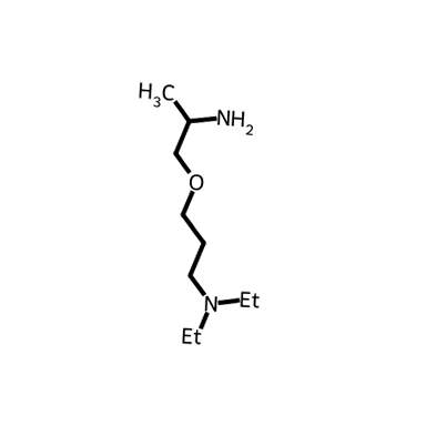 CCN(CC)CCCOCC(C)N